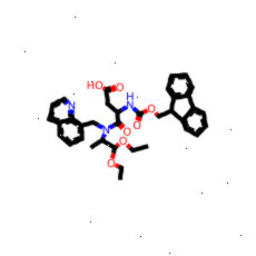 CCOC(OCC)C(C)N(Cc1cccc2cccnc12)C(=O)C(CC(=O)O)NC(=O)OCC1c2ccccc2-c2ccccc21